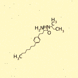 CCCCCCCc1ccc(CCC(N)C(=O)NC(C)CC)cc1